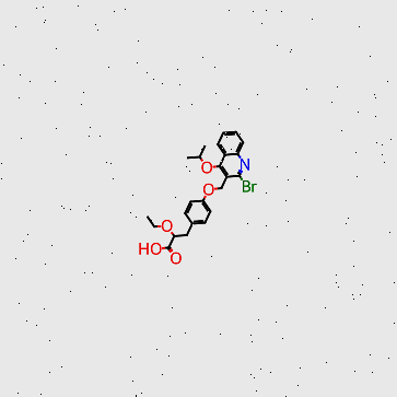 CCOC(Cc1ccc(OCc2c(Br)nc3ccccc3c2OC(C)C)cc1)C(=O)O